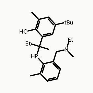 CCN(C)Cc1cccc(C)c1PC(C)(CC)c1cc(C(C)(C)C)cc(C)c1O